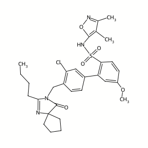 CCCCC1=NC2(CCCC2)C(=O)N1Cc1ccc(-c2cc(OC)ccc2S(=O)(=O)Nc2onc(C)c2C)cc1Cl